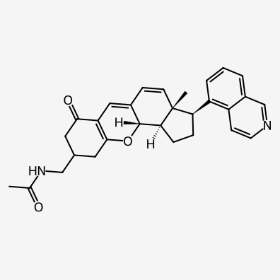 CC(=O)NCC1CC(=O)C2=C(C1)O[C@@H]1C(=C2)C=C[C@]2(C)[C@@H](c3cccc4cnccc34)CC[C@@H]12